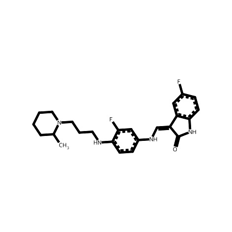 CC1CCCCN1CCCNc1ccc(NC=C2C(=O)Nc3ccc(F)cc32)cc1F